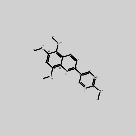 COc1ncc(-c2ccc3c(OC)c(OC)cc(OC)c3n2)cn1